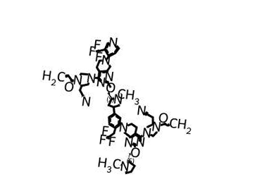 C=CC(=O)N1CCN(c2nc(OC[C@@H]3CCCN3C)nc3c2CCN(c2cc(C4C[C@@H](COc5nc6c(c(N7CCN(C(=O)C=C)C(CC#N)C7)n5)CCN(c5ccncc5C(F)(F)F)C6)N(C)C4)ccc2CC(F)(F)F)C3)CC1CC#N